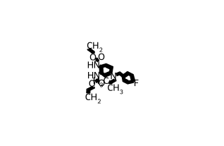 C=CCOC(=O)Nc1ccc(N(Cc2ccc(F)cc2)CC(C)C)cc1NC(=O)OCC=C